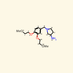 COCCOc1ccc(CN2CCC(N)C2)cc1OCCOC